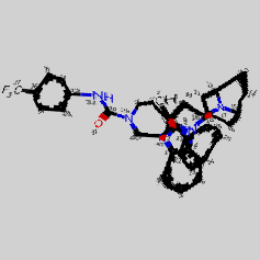 Cc1nc2ccccc2n1C1CC2CCC(C1)N2CCC1(c2ccccc2)CCN(C(=O)Nc2ccc(C(F)(F)F)cc2)CC1